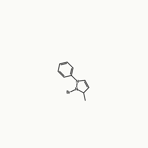 CC1C=CN(c2ccccc2)N1Br